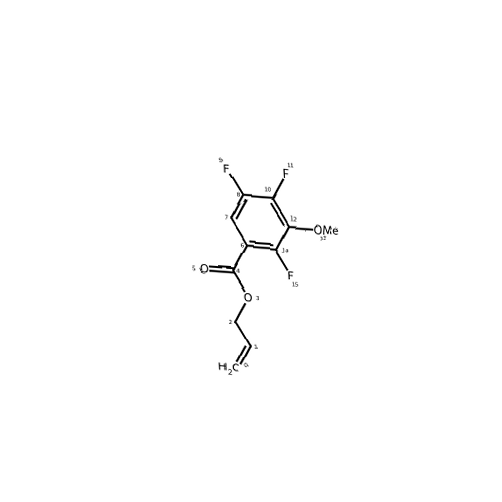 C=CCOC(=O)c1cc(F)c(F)c(OC)c1F